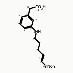 CCCCCCCCC/C=C/CCCNc1cccc(CC(=O)O)c1